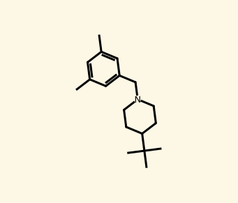 Cc1cc(C)cc(CN2CCC(C(C)(C)C)CC2)c1